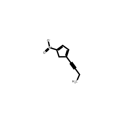 CCC#CC1=CC=C([N+](=O)[O-])C1